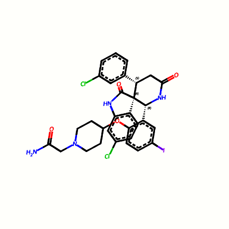 NC(=O)CN1CCC(Oc2ccc(I)cc2[C@H]2NC(=O)C[C@@H](c3cccc(Cl)c3)[C@]23C(=O)Nc2cc(Cl)ccc23)CC1